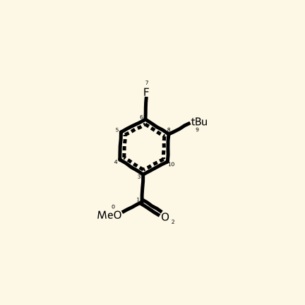 COC(=O)c1ccc(F)c(C(C)(C)C)c1